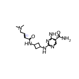 CN(C)C/C=C/C(=O)NC1CC(Nc2ncc(C(N)=O)c(N)n2)C1